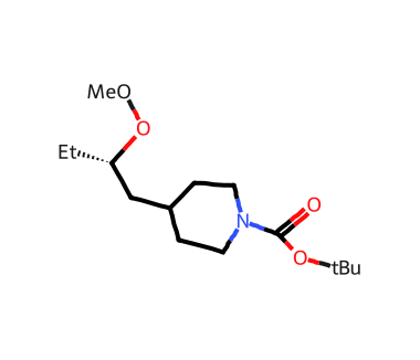 CC[C@@H](CC1CCN(C(=O)OC(C)(C)C)CC1)OOC